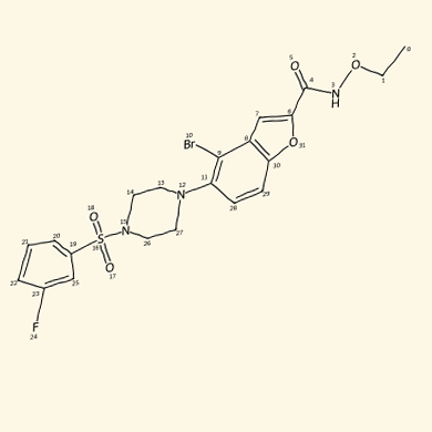 CCONC(=O)c1cc2c(Br)c(N3CCN(S(=O)(=O)c4cccc(F)c4)CC3)ccc2o1